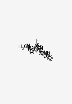 Cc1cn(-c2cccc3[nH]c(-c4n[nH]c5cnc(-c6cncc(NC(=O)Cc7ccccc7)c6)c(F)c45)nc23)cn1